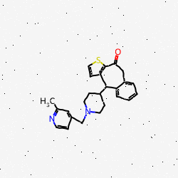 Cc1cc(CN2CCC(C3c4ccccc4CC(=O)c4sccc43)CC2)ccn1